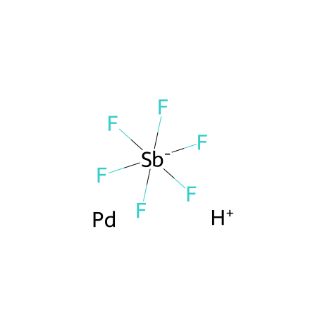 [F][Sb-]([F])([F])([F])([F])[F].[H+].[Pd]